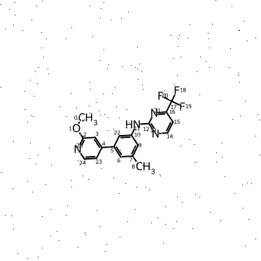 COc1cc(-c2cc(C)cc(Nc3nccc(C(F)(F)F)n3)c2)ccn1